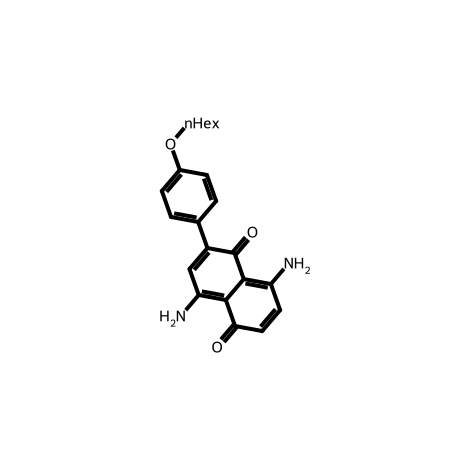 CCCCCCOc1ccc(C2=CC(N)=C3C(=O)C=CC(N)=C3C2=O)cc1